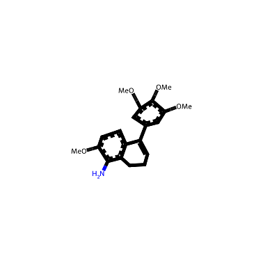 COc1ccc2c(c1N)CCC=C2c1cc(OC)c(OC)c(OC)c1